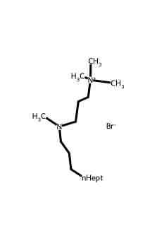 CCCCCCCCCCN(C)CCC[N+](C)(C)C.[Br-]